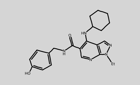 CCn1ncc2c(NC3CCCCC3)c(C(=O)NCc3ccc(O)cc3)cnc21